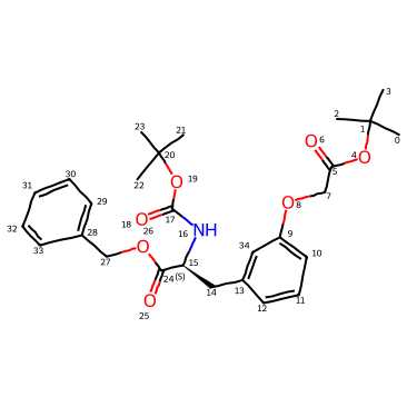 CC(C)(C)OC(=O)COc1cccc(C[C@H](NC(=O)OC(C)(C)C)C(=O)OCc2ccccc2)c1